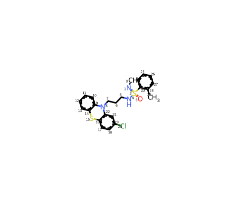 CN=S(=O)(NCCCN1c2ccccc2Sc2ccc(Cl)cc21)c1ccccc1C